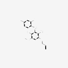 C=CCOc1cc(OC)c(F)c(Nc2ccc(I)cc2F)c1N